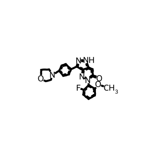 COc1cccc(F)c1-n1nc2c(-c3ccc(N4CCOCC4)cc3)n[nH]c2cc1=O